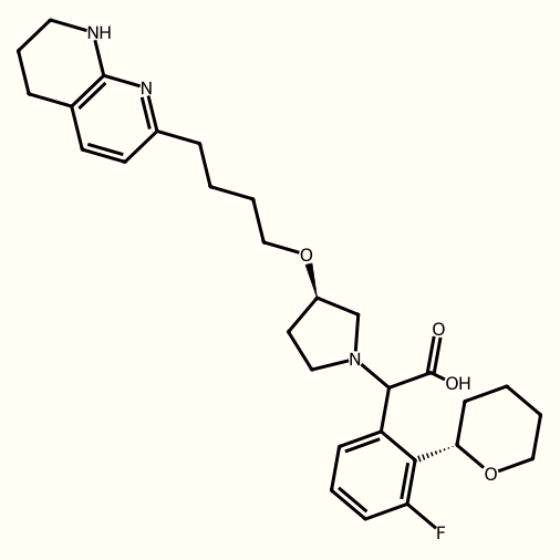 O=C(O)C(c1cccc(F)c1[C@@H]1CCCCO1)N1CC[C@@H](OCCCCc2ccc3c(n2)NCCC3)C1